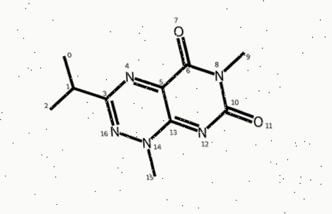 CC(C)c1nc2c(=O)n(C)c(=O)nc-2n(C)n1